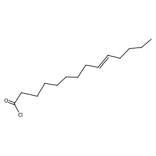 CCCCC=CCCCCCCCC(=O)Cl